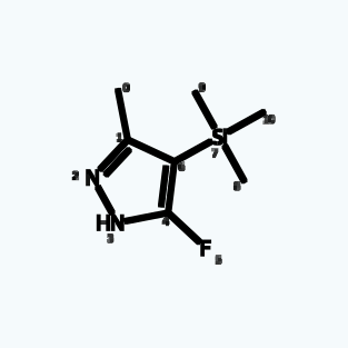 Cc1n[nH]c(F)c1[Si](C)(C)C